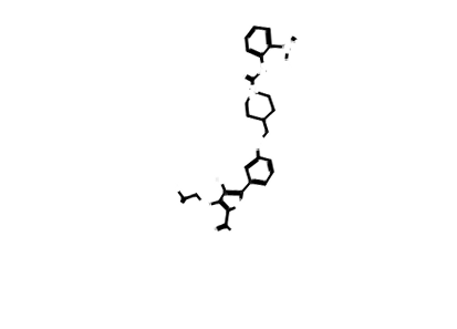 O=C(O)COc1c(C(=O)O)sc(-c2cccc(OCC3CCN(C(=O)Nc4ccccc4[N+](=O)[O-])CC3)c2)c1Br